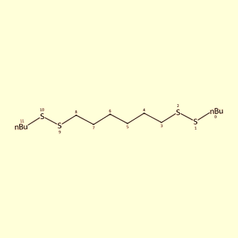 CCCCSSCCCCCCSSCCCC